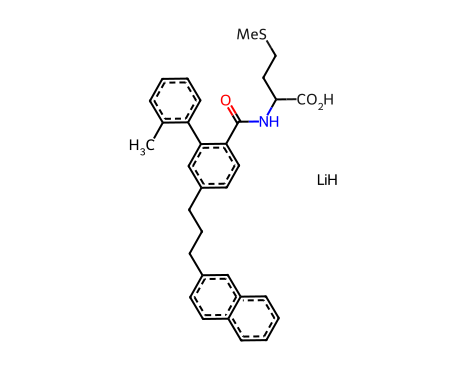 CSCCC(NC(=O)c1ccc(CCCc2ccc3ccccc3c2)cc1-c1ccccc1C)C(=O)O.[LiH]